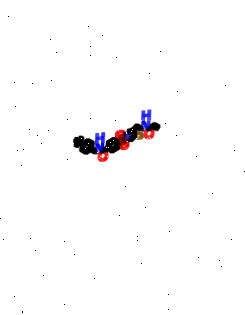 C=CC(=O)NC1CC2CN(S(=O)(=O)c3ccc(C(=O)NCc4ccc(C(C)(C)C)cc4)cc3)CC2S1